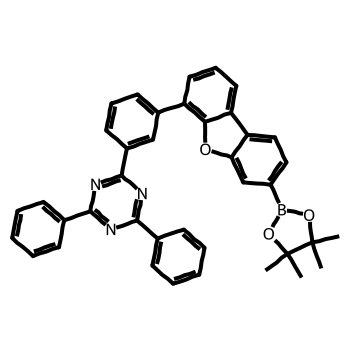 CC1(C)OB(c2ccc3c(c2)oc2c(-c4cccc(-c5nc(-c6ccccc6)nc(-c6ccccc6)n5)c4)cccc23)OC1(C)C